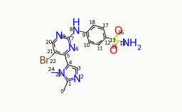 Cc1ncc(-c2nc(Nc3ccc(S(N)(=O)=O)cc3)ncc2Br)n1C